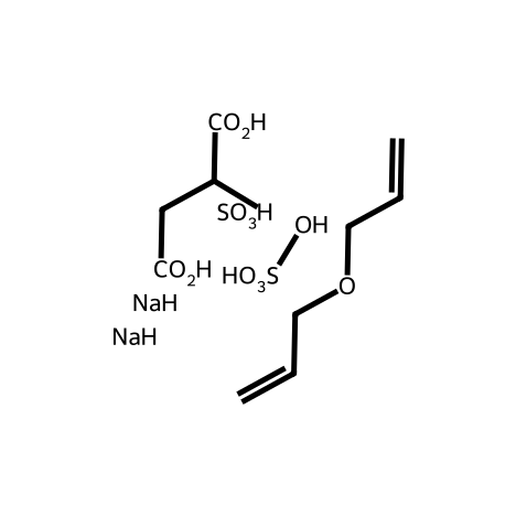 C=CCOCC=C.O=C(O)CC(C(=O)O)S(=O)(=O)O.O=S(=O)(O)O.[NaH].[NaH]